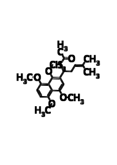 COc1ccc(OC)c2c(OC)c(C(CC=C(C)C)SC(C)=O)cc(OC)c12